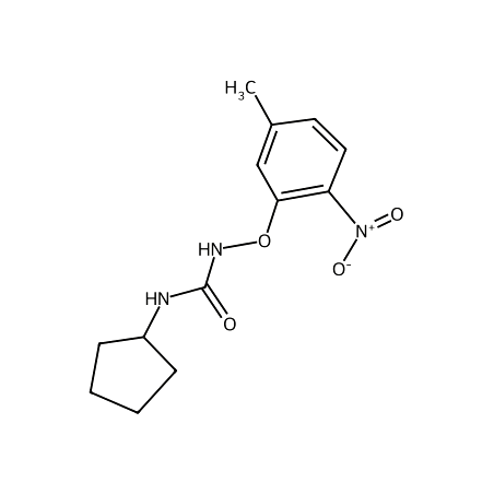 Cc1ccc([N+](=O)[O-])c(ONC(=O)NC2CCCC2)c1